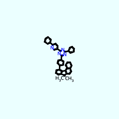 CC1(C)c2cccc(-c3ccc(-c4nc(-c5ccccc5)nc(-c5ccc(-c6ccccc6)nc5)n4)cc3)c2-c2c1ccc1ccccc21